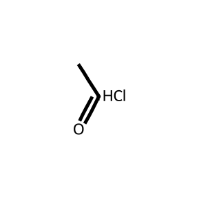 C[C]=O.Cl